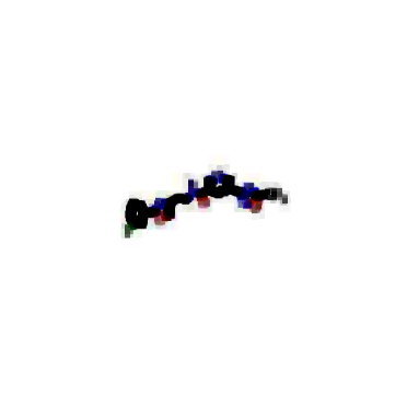 Cc1nc(-c2cncc(C(=O)NCCc3coc(-c4cccc(F)c4)n3)c2)no1